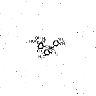 Cc1ccc(N)c(C)c1.Cc1ccc(N)c(C)c1.Cc1ccc(N)c(C)c1.OB(O)O